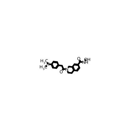 CN(C)c1ccc(CC(=O)N2CCc3ccc(C(=O)NO)cc3C2)cc1